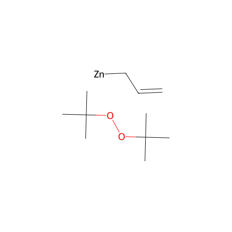 C=C[CH2][Zn].CC(C)(C)OOC(C)(C)C